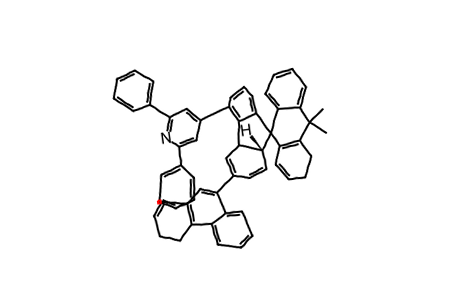 CC1(C)C2=C(C=CCC2)C2(c3ccccc31)c1cccc(-c3cc(-c4ccccc4)nc(-c4ccccc4)c3)c1C1C=C(c3cc4c(c5ccccc35)CCC=C4)C=C[C@H]12